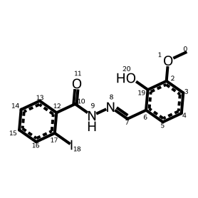 COc1cccc(/C=N/NC(=O)c2ccccc2I)c1O